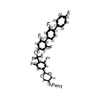 CCCCCC1COC(c2cc(F)c(C(F)(F)Oc3cc(F)c(-c4ccc(-c5ccc(F)cc5)c(F)c4)c(F)c3)c(F)c2)OC1